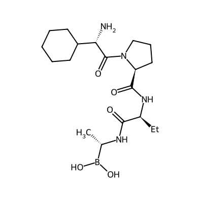 CC[C@H](NC(=O)[C@@H]1CCCN1C(=O)[C@@H](N)C1CCCCC1)C(=O)N[C@@H](C)B(O)O